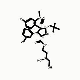 COc1cc(Cl)ccc1[C@@]1(C#N)[C@H](CC(C)(C)C)N[C@H](C(=O)NCC[C@H](O)CO)[C@@H]1c1cccc(Cl)c1